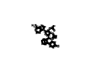 CC(=O)OC(C1C2CCC(CC2)C1c1ccc(Cl)cc1)[C@H]1O[C@@H](n2cnc3c(N)ncnc32)[C@H](OC(C)=O)[C@@H]1OC(C)=O